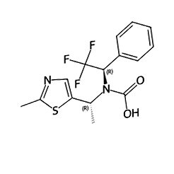 Cc1ncc([C@@H](C)N(C(=O)O)[C@H](c2ccccc2)C(F)(F)F)s1